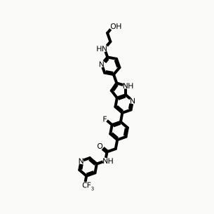 O=C(Cc1ccc(-c2cnc3[nH]c(-c4ccc(NCCO)nc4)cc3c2)c(F)c1)Nc1cncc(C(F)(F)F)c1